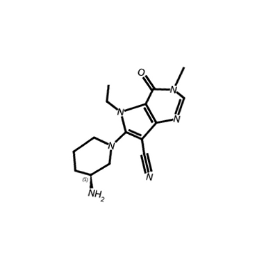 CCn1c(N2CCC[C@H](N)C2)c(C#N)c2ncn(C)c(=O)c21